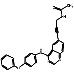 CC(=O)NCC#Cc1ccc2ncnc(Nc3ccc(Oc4ccccc4)cc3)c2c1